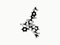 CC(=O)Oc1ccc2[nH]c(C(=O)N[C@@H](CC(N)=O)C(=O)N[C@@H](Cc3ccccc3)C(O)C(=O)N3CCC[C@H]3C(=O)NC(C)(C)C)cc2c1